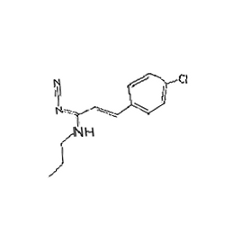 CCCNC(/C=C/c1ccc(Cl)cc1)=N/C#N